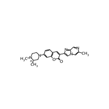 Cc1cn2cc(-c3cc4ccc(N5CCN(C)[C@H](C)C5)cc4oc3=O)nc2cn1